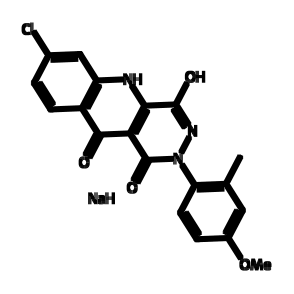 COc1ccc(-n2nc(O)c3[nH]c4cc(Cl)ccc4c(=O)c3c2=O)c(C)c1.[NaH]